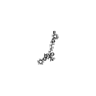 CN(C)C[C@@H](CC(=O)OCc1ccccc1)NC(=O)CCCCCCCOCc1cccc(F)c1